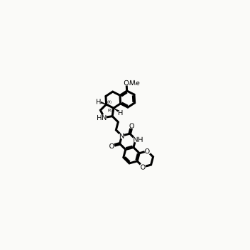 COc1cccc2c1CC[C@H]1CNC(CCn3c(=O)[nH]c4c5c(ccc4c3=O)OCCO5)[C@@H]21